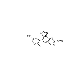 CNc1ncc2cc(-c3cc(O)ccc3C)c3ncnn3c2n1